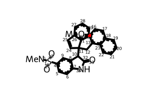 CNS(=O)(=O)c1ccc2c(c1)C(C1(Cc3c(OC)ccc4ccccc34)C=Cc3ccccc31)C(=O)N2